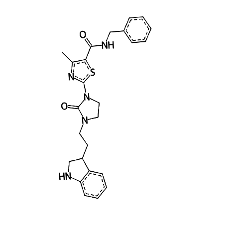 Cc1nc(N2CCN(CCC3CNc4ccccc43)C2=O)sc1C(=O)NCc1ccccc1